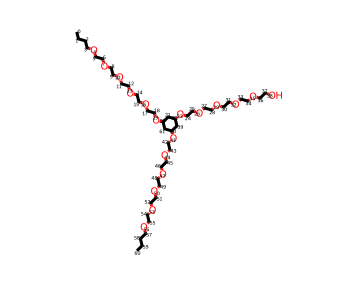 CCCCOCCOCCOCCOCCOCCOC1CC(OCCOCCOCCOCCOCCO)CC(OCCOCCOCCOCCOCCOCCCC)C1